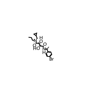 CCCN(CC1CC1)C(=O)[C@H](O)[C@@H](O)C(=O)N[C@@H](C)c1ccc(Br)cc1